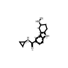 CCNC1CCc2[nH]c3ccc(C(=O)NC4CC4)cc3c2C1